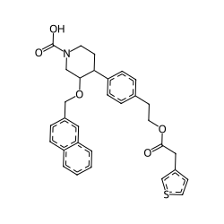 O=C(Cc1ccsc1)OCCc1ccc(C2CCN(C(=O)O)CC2OCc2ccc3ccccc3c2)cc1